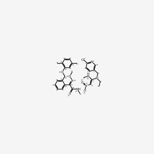 CCN(Cc1ccc(Cl)nc1)/C(=C/[N+](=O)[O-])NC.CNC(=O)/C(=N/OC)c1ccccc1COc1cc(C)ccc1C